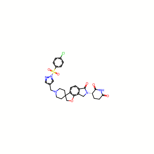 O=C1CC[C@H](N2Cc3c(ccc4c3OCC43CCN(Cc4cnn(S(=O)(=O)c5ccc(Cl)cc5)c4)CC3)C2=O)C(=O)N1